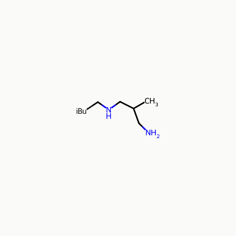 CCC(C)CNCC(C)CN